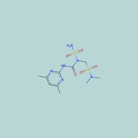 Cc1cc(C)nc(NC(=O)N(CS(=O)(=O)N(C)C)S(N)(=O)=O)n1